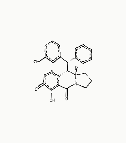 O=C1c2c(O)c(=O)cnn2[C@H]([C@@H](c2ccccc2)c2cccc(Cl)c2)[C@@H]2CCCN12